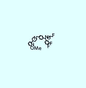 COc1cccc(C2CCN(Cc3ccc(/C(=N/OCCF)c4ccc(F)c(F)c4)cc3)CC2)n1